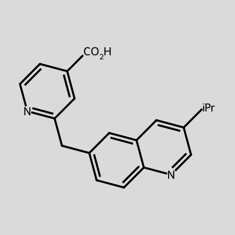 CC(C)c1cnc2ccc(Cc3cc(C(=O)O)ccn3)cc2c1